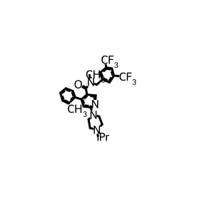 Cc1ccccc1-c1cc(N2CCN(C(C)C)CC2)ncc1C(=O)N(C)Cc1cc(C(F)(F)F)cc(C(F)(F)F)c1